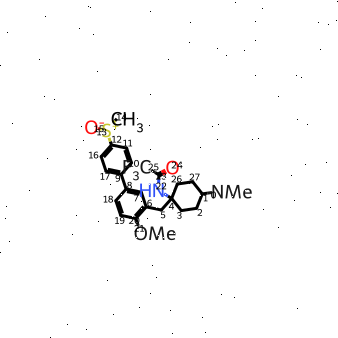 CNC1CCC(Cc2cc(-c3ccc([S+](C)[O-])cc3)ccc2OC)(NC(=O)C(F)(F)F)CC1